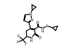 O=C(NSC1CC1)C1=C(c2ccn(C3CC3)n2)CC(C(F)(F)F)NC1=O